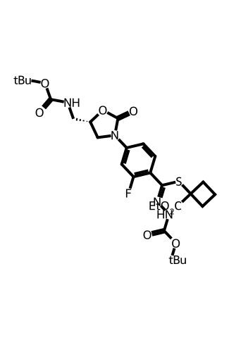 CCOC(=O)C1(SC(=NNC(=O)OC(C)(C)C)c2ccc(N3C[C@H](CNC(=O)OC(C)(C)C)OC3=O)cc2F)CCC1